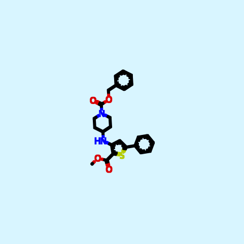 COC(=O)c1sc(-c2ccccc2)cc1NC1CCN(C(=O)OCc2ccccc2)CC1